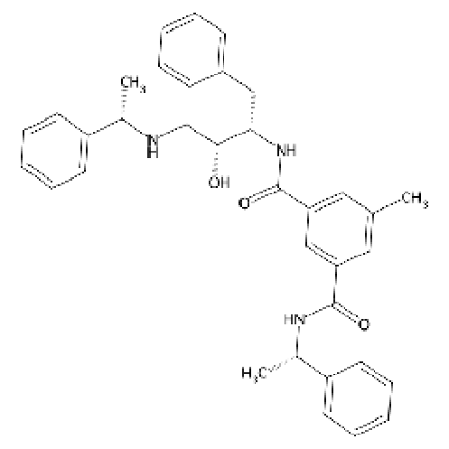 Cc1cc(C(=O)N[C@@H](C)c2ccccc2)cc(C(=O)N[C@@H](Cc2ccccc2)[C@H](O)CN[C@@H](C)c2ccccc2)c1